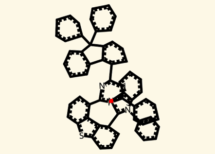 c1ccc(-c2nc(-c3cccc4c3-c3ccccc3C4(c3ccccc3)c3ccccc3)nc(-c3cccc4sc5cccc(-c6nc7ccccc7n6-c6ccccc6)c5c34)n2)cc1